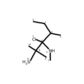 CCC(C)C(Cl)(NC)C(C)(C)[SiH3]